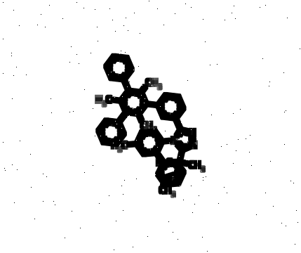 CCCC(C)(C)c1nnc(-c2cccc(-c3c(C)c(-c4ccccc4)c(C)c(-c4ccccc4)c3C)c2)n1-c1ccc(C)cc1-c1ccccc1